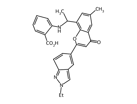 CCn1cc2cc(-c3cc(=O)c4cc(C)cc(C(C)Nc5ccccc5C(=O)O)c4o3)ccc2n1